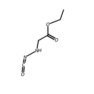 CCOC(=O)CNN=C=O